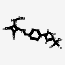 CC(C)(C)Nc1c(NCc2ccc(-c3noc(C(F)(F)Cl)n3)cc2)c(=O)c1=O